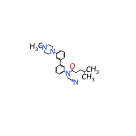 CC(C)CCC(=O)N(CC#N)c1cccc(-c2cccc(N3CCN(C)CC3)c2)c1